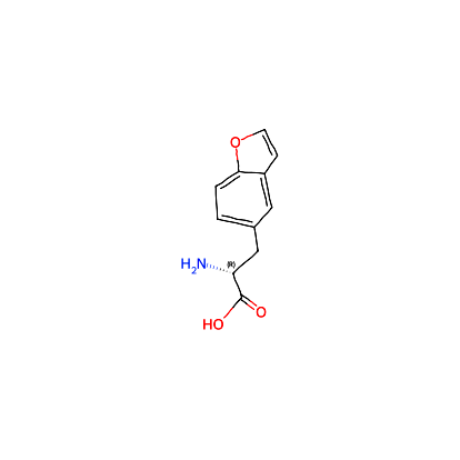 N[C@H](Cc1ccc2occc2c1)C(=O)O